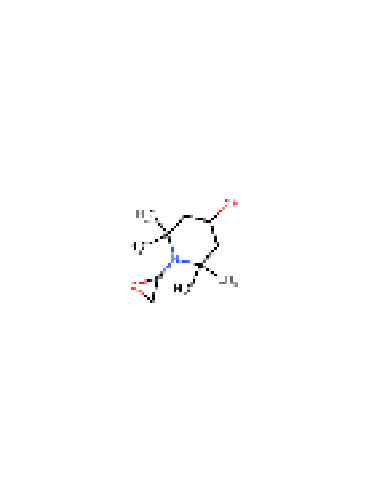 CC1(C)CC(O)CC(C)(C)N1[C]1CO1